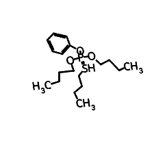 CCCCOP(OCCCC)(Oc1ccccc1)=[SH]CCCC